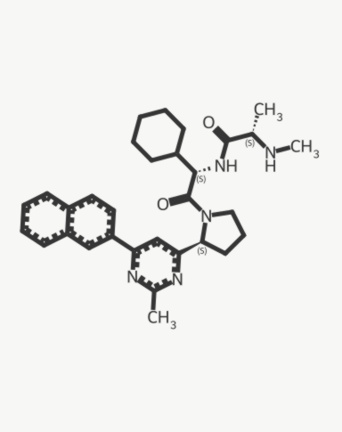 CN[C@@H](C)C(=O)N[C@H](C(=O)N1CCC[C@H]1c1cc(-c2ccc3ccccc3c2)nc(C)n1)C1CCCCC1